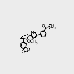 CNC(=O)c1cccc(-c2cnc(NC(=O)C3(c4ccc5c(c4)OCO5)CC3)c(C)c2)c1